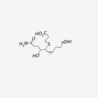 CCCCCCCCCCCC/C=C\C(SCCC(=O)O)C(O)CCC(N)=O